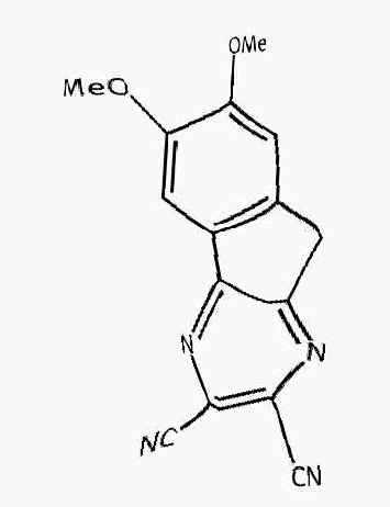 COc1cc2c(cc1OC)-c1nc(C#N)c(C#N)nc1C2